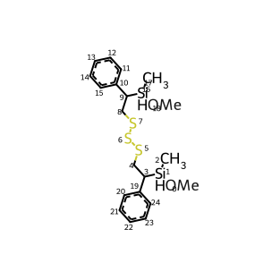 CO[SiH](C)C(CSSSCC(c1ccccc1)[SiH](C)OC)c1ccccc1